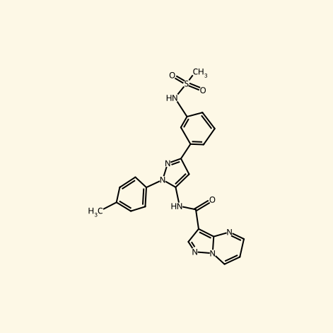 Cc1ccc(-n2nc(-c3cccc(NS(C)(=O)=O)c3)cc2NC(=O)c2cnn3cccnc23)cc1